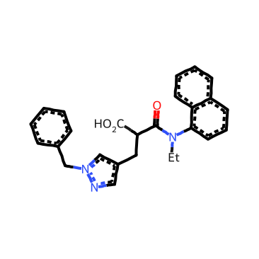 CCN(C(=O)C(Cc1cnn(Cc2ccccc2)c1)C(=O)O)c1cccc2ccccc12